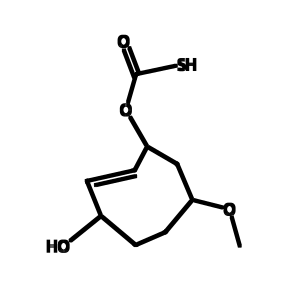 COC1CCC(O)/C=C/C(OC(=O)S)C1